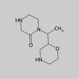 CC(C1CNCCO1)N1CCNCC1=O